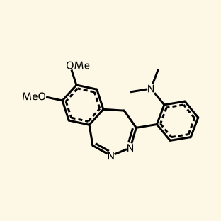 COc1cc2c(cc1OC)CC(c1ccccc1N(C)C)=NN=C2